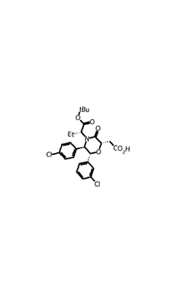 CC[C@H](C(=O)OC(C)(C)C)N1C(=O)[C@H](CC(=O)O)O[C@H](c2cccc(Cl)c2)[C@H]1c1ccc(Cl)cc1